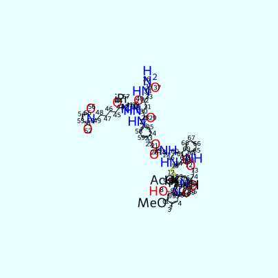 COc1c(C)cc2c(c1O)C1[C@@H]3[C@@H]4SC[C@]5(N[C@H](CNC(=O)OCc6ccc(NC(=O)[C@H](CCCNC(N)=O)NC(=O)[C@@H](NC(=O)CCCCCN7C(=O)C=CC7=O)C(C)C)cc6)Cc6c5[nH]c5ccccc65)C(=O)OCC[C@@H](c5c6c(c(C)c(OC(C)=O)c54)OCO6)N3C(C)(C2)CN1C